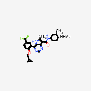 CC(=O)N[C@@H]1CC[C@@H](NC(=O)c2c(C)[nH]c3c(-c4cc(C(F)F)ccc4OCC4CC4)ncnc23)C[C@H]1C